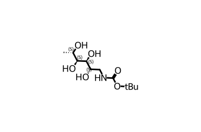 C[C@H](O)[C@H](O)[C@@H](O)[C@@H](O)CNC(=O)OC(C)(C)C